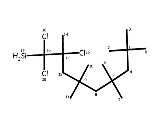 CC(C)(C)CC(C)(C)CC(C)(C)CC(C)(Cl)C([SiH3])(Cl)Cl